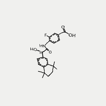 CC1(C)CCC(C)(C)c2cc([C@@H](O)C(=O)Nc3ccc(C(=O)O)cc3F)ccc21